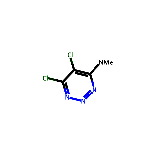 CNc1nnnc(Cl)c1Cl